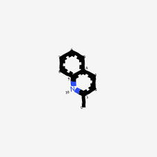 Cc1ccc2[c]cccc2n1